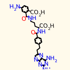 Nc1ccc(C(=O)O)c(C(=O)NCCC[C@H](NC(=O)c2ccc(CCc3cnc4nc(N)nc(N)c4n3)cc2)C(=O)O)c1